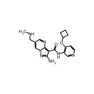 CNCc1cnc2c(C(=O)Nc3cnccc3OC3CCC3)c(N)nn2c1